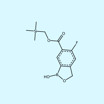 C[Si](C)(C)COC(=O)c1cc2c(cc1F)COB2O